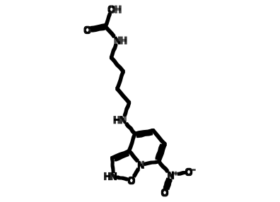 O=C(O)NCCCCNC1=CC=C([N+](=O)[O-])N2ONC=C12